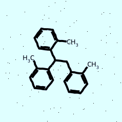 Cc1ccccc1CC(c1ccccc1C)c1ccccc1C